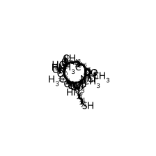 COc1cc2cc(c1Cl)N(C)C(=O)CC(OC(=O)NCCCCS)C1(C)OC1C(C)C1CC(O)(NC(=O)O1)C(OC)/C=C/C=C(\C)C2